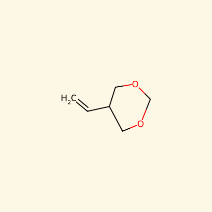 C=CC1COCOC1